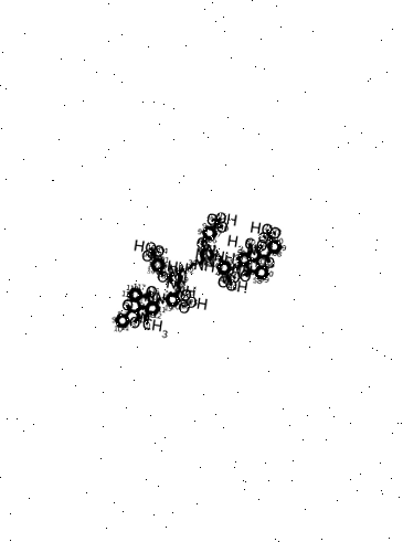 Cn1c(=O)c(C(=O)c2ccccc2)c2c3c(c(Nc4ccc(S(=O)(=O)O)c(Nc5nc(NCCNc6nc(Nc7ccc(S(=O)(=O)O)c(Nc8ccc9c%10c8C(=O)c8ccccc8-c%10c(C(=O)c8cccc(S(=O)(=O)O)c8)c(=O)n9C)c7)nc(Oc7ccc(S(=O)(=O)O)cc7)n6)nc(Oc6ccc(S(=O)(=O)O)cc6)n5)c4)ccc31)C(=O)c1ccccc1-2